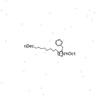 CCCCCCCCCCCCCCCCCCn1cc[n+](CCCCCCCC)c1Cc1ccccc1